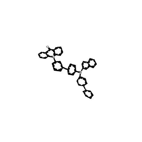 O=c1c2ccccc2n(-c2cccc(-c3ccc(N(c4ccc(-c5ccccc5)cc4)c4ccc5ccccc5c4)cc3)c2)c2ccccc12